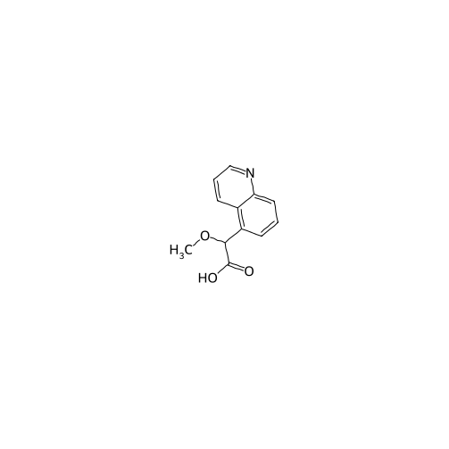 COC(C(=O)O)c1cccc2ncccc12